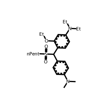 CCCCCS(=O)(=O)C(c1ccc(N(C)C)cc1)c1ccc(N(CC)CC)cc1OCC